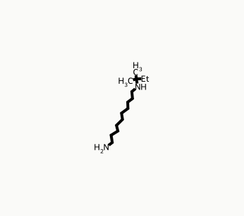 CCC(C)(C)NCCCCCCCCCCN